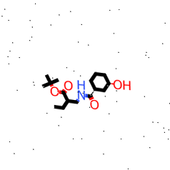 CCC(CNC(=O)[C@@H]1CCC[C@H](O)C1)C(=O)OC(C)(C)C